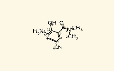 CN(C)C(=O)c1cc(C#N)cc(N)c1O